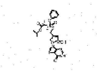 CC(C)OC(=O)[C@H](C)N[P@](=O)(OCC1=C[C@@H](O)[C@H](n2cnc3c(=O)[nH]cnc32)O1)Oc1ccccc1